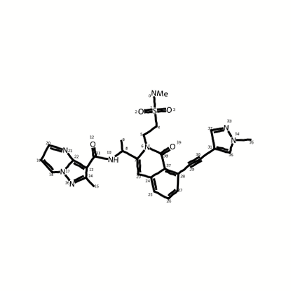 CNS(=O)(=O)CCn1c(C(C)NC(=O)c2c(C)nn3cccnc23)cc2cccc(C#Cc3cnn(C)c3)c2c1=O